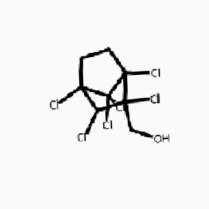 OCC1(Cl)C(Cl)C2(Cl)CCC1(Cl)C2(Cl)Cl